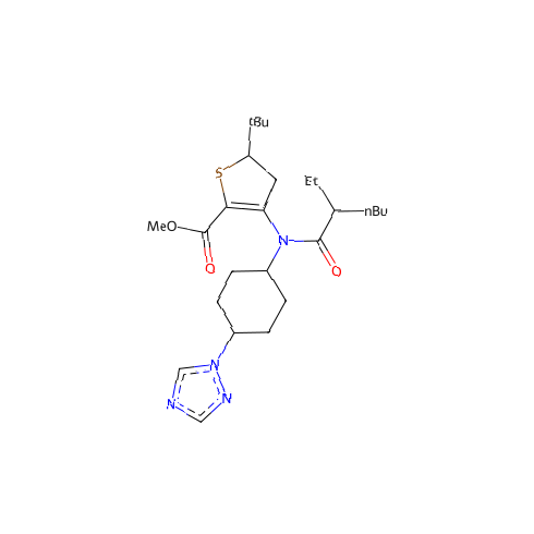 CCCCC(CC)C(=O)N(C1=C(C(=O)OC)SC(C(C)(C)C)C1)C1CCC(n2cncn2)CC1